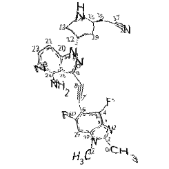 Cc1nc2c(F)c(C#Cc3nn([C@@H]4CN[C@@H](CC#N)C4)c4ccnc(N)c34)c(F)cc2n1C